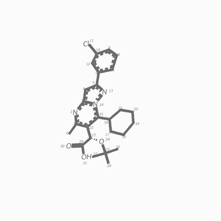 Cc1nc2cc(-c3cccc(Cl)c3)nn2c(C2CCCCC2)c1[C@H](OC(C)(C)C)C(=O)O